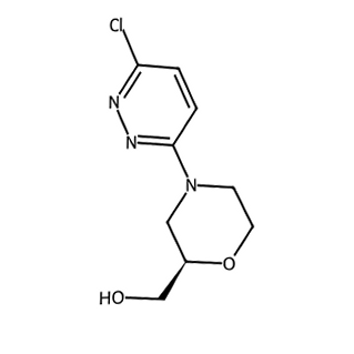 OC[C@H]1CN(c2ccc(Cl)nn2)CCO1